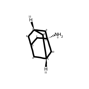 N[C@]12CC3C[C@H](C[C@H](C3)C1)C2